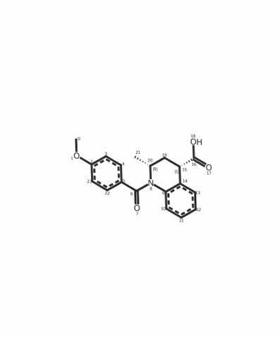 COc1ccc(C(=O)N2c3ccccc3[C@@H](C(=O)O)C[C@H]2C)cc1